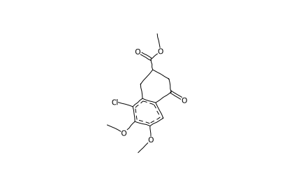 COC(=O)C1CC(=O)c2cc(OC)c(OC)c(Cl)c2C1